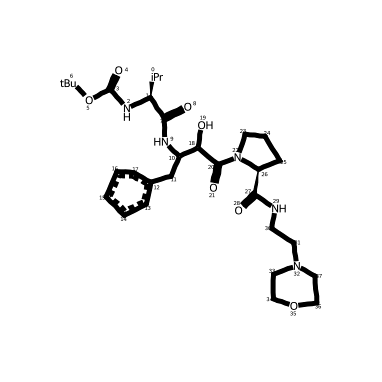 CC(C)[C@H](NC(=O)OC(C)(C)C)C(=O)NC(Cc1ccccc1)C(O)C(=O)N1CCC[C@H]1C(=O)NCCN1CCOCC1